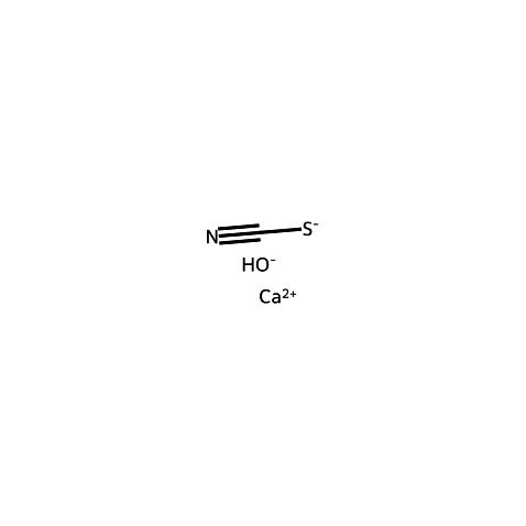 N#C[S-].[Ca+2].[OH-]